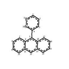 b1cccc(-c2c3ccccc3cc3ccccc23)n1